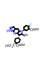 COc1cc(-n2c(C(C)C)c([C@H]3CC[C@](OC)(C(=O)O)CC3)c3nc4[nH]ncc4cc32)ccc1F